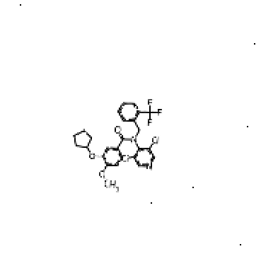 COc1ccc(C(=O)N(Cc2ccccc2C(F)(F)F)c2c(Cl)cncc2Cl)cc1OC1CCCC1